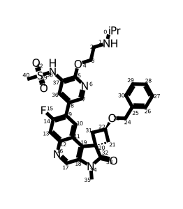 CC(C)NCCOc1ncc(-c2cc3c(cc2F)ncc2c3[C@]3(C[C@H](OCc4ccccc4)C3)C(=O)N2C)cc1NS(C)(=O)=O